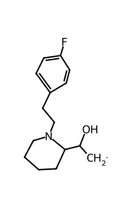 [CH2]C(O)C1CCCCN1CCc1ccc(F)cc1